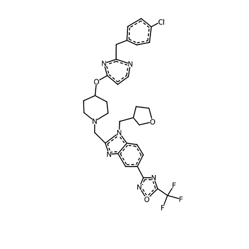 FC(F)(F)c1nc(-c2ccc3c(c2)nc(CN2CCC(Oc4ccnc(Cc5ccc(Cl)cc5)n4)CC2)n3CC2CCOC2)no1